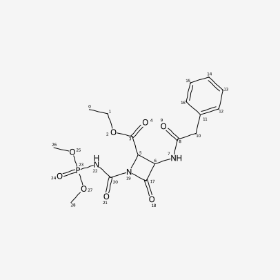 CCOC(=O)C1C(NC(=O)Cc2ccccc2)C(=O)N1C(=O)NP(=O)(OC)OC